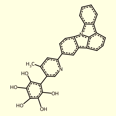 Cc1cc(-c2ccc3c(c2)c2cccc4c5ccccc5n3c42)ncc1-c1c(O)c(O)c(O)c(O)c1O